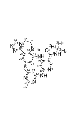 [2H]C([2H])([2H])NC(=O)c1cnc(Nc2cc(C)nc(C)n2)cc1Nc1cccc2c1N(C)CCn1cnnc1-2